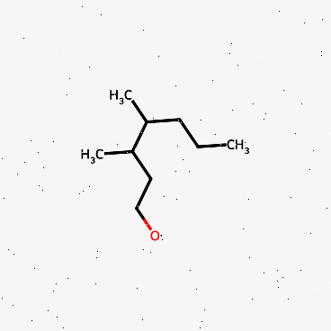 CCCC(C)C(C)CC[O]